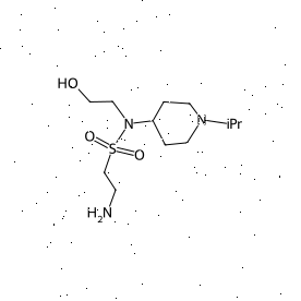 CC(C)N1CCC(N(CCO)S(=O)(=O)CCN)CC1